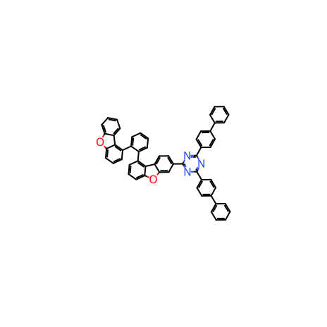 c1ccc(-c2ccc(-c3nc(-c4ccc(-c5ccccc5)cc4)nc(-c4ccc5c(c4)oc4cccc(-c6ccccc6-c6cccc7oc8ccccc8c67)c45)n3)cc2)cc1